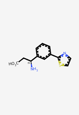 N[C@@H](CC(=O)O)c1cccc(-c2nccs2)c1